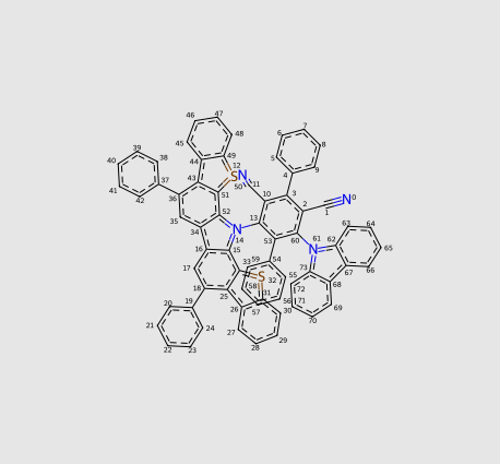 N#Cc1c(-c2ccccc2)c(C#N)c(-n2c3c(cc(-c4ccccc4)c4c5ccccc5sc43)c3cc(-c4ccccc4)c4c5ccccc5sc4c32)c(-c2ccccc2)c1-n1c2ccccc2c2ccccc21